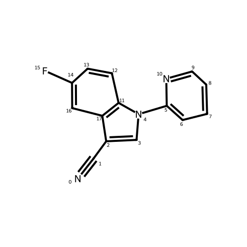 N#Cc1cn(-c2ccccn2)c2ccc(F)cc12